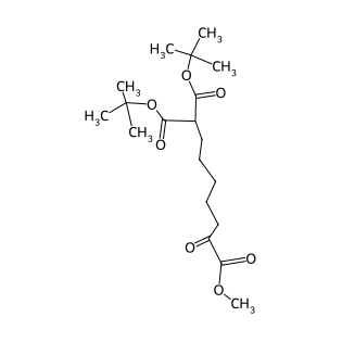 COC(=O)C(=O)CCCCCC(C(=O)OC(C)(C)C)C(=O)OC(C)(C)C